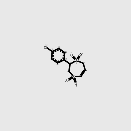 O=S1(=O)C=CCS(=O)(=O)C(c2ccc(Cl)cc2)C1